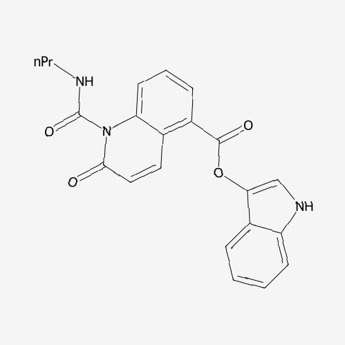 CCCNC(=O)n1c(=O)ccc2c(C(=O)Oc3c[nH]c4ccccc34)cccc21